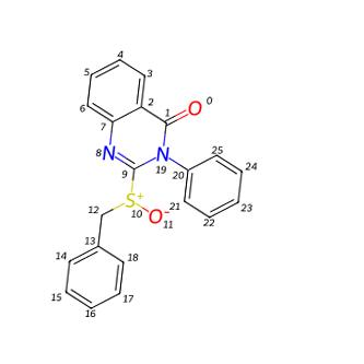 O=c1c2ccccc2nc([S+]([O-])Cc2ccccc2)n1-c1ccccc1